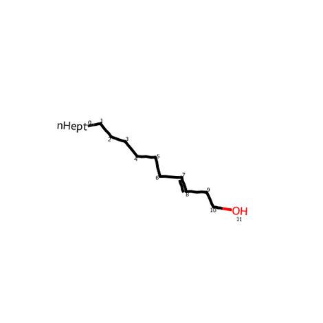 CCCCCCCCCCCCCC=CCCO